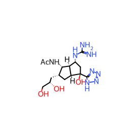 CC(=O)N[C@H]1[C@@H](C[C@H](O)CO)C[C@H]2[C@@H]1[C@H](NC(=N)N)C[C@]2(O)c1nnn[nH]1